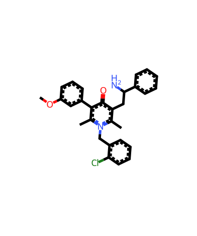 COc1cccc(-c2c(C)n(Cc3ccccc3Cl)c(C)c(CC(N)c3ccccc3)c2=O)c1